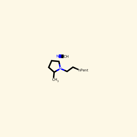 C#N.CCCCCCCN1CCCC1C